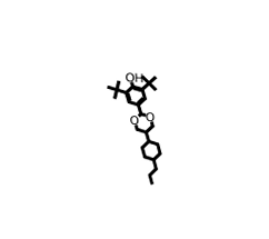 CCCC1CCC(C2COC(c3cc(C(C)(C)C)c(O)c(C(C)(C)C)c3)OC2)CC1